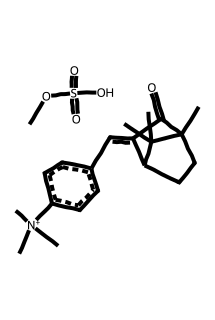 CC12CCC(C(=Cc3ccc([N+](C)(C)C)cc3)C1=O)C2(C)C.COS(=O)(=O)O